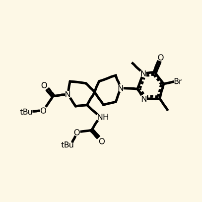 Cc1nc(N2CCC3(CCN(C(=O)OC(C)(C)C)CC3NC(=O)OC(C)(C)C)CC2)n(C)c(=O)c1Br